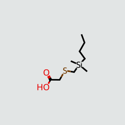 CCCC[Si](C)(C)CSCC(=O)O